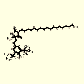 CCCCCCCCCCCCCCCCCCN1C(=O)NC(C)(CCc2cc(C(C)(C)C)c(O)c(C(C)(C)C)c2)C1=O